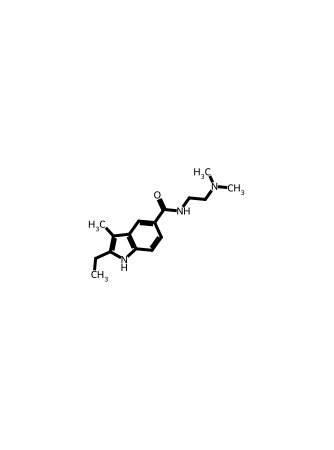 CCc1[nH]c2ccc(C(=O)NCCN(C)C)cc2c1C